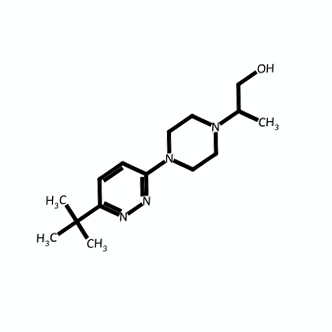 CC(CO)N1CCN(c2ccc(C(C)(C)C)nn2)CC1